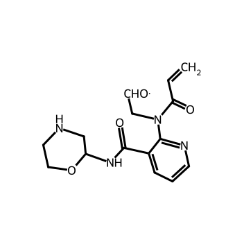 C=CC(=O)N(C[C]=O)c1ncccc1C(=O)NC1CNCCO1